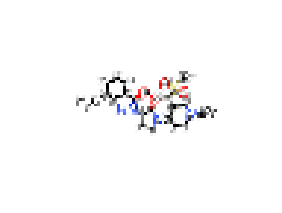 CC(C)N1CC[C@H](N2CCC(NC(=O)c3cccc(C(F)(F)F)c3)C2=O)[C@H](CS(=O)(=O)C(C)C)C1